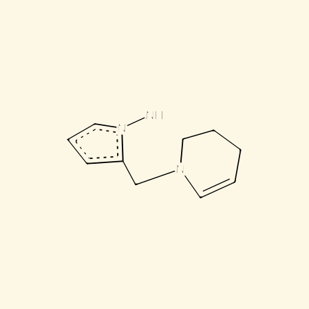 Nn1cccc1CN1C=CCCC1